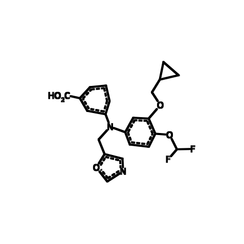 O=C(O)c1cccc(N(Cc2cnco2)c2ccc(OC(F)F)c(OCC3CC3)c2)c1